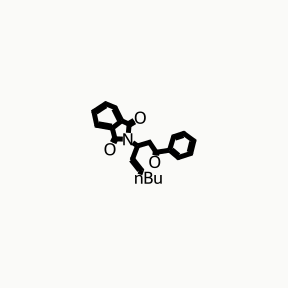 CCCCC=CC(CC(=O)c1ccccc1)N1C(=O)c2ccccc2C1=O